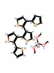 CO[SiH](OC)OC.c1csc(-c2ccsc2-c2ccsc2-c2ccsc2-c2cccs2)c1